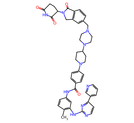 Cc1ccc(NC(=O)c2ccc(N3CCC(N4CCN(Cc5ccc6c(c5)CN(C5CCC(=O)NC5=O)C6=O)CC4)CC3)cc2)cc1Nc1nccc(-c2cccnc2)n1